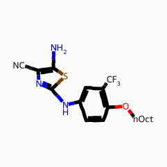 CCCCCCCCOc1ccc(Nc2nc(C#N)c(N)s2)cc1C(F)(F)F